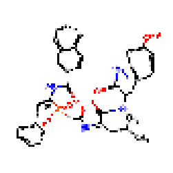 CC(C)C[C@H](NC(=O)CP(=O)(O)[C@@H](Cc1ccccc1)NC(=O)c1ccc2ccccc2c1)C(=O)NC(Cc1ccc(O)cc1)C(N)=O